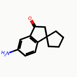 Nc1ccc2c(c1)C(=O)CC21CCCC1